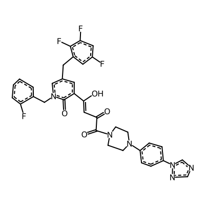 O=C(C=C(O)c1cc(Cc2cc(F)cc(F)c2F)cn(Cc2ccccc2F)c1=O)C(=O)N1CCN(c2ccc(-n3cncn3)cc2)CC1